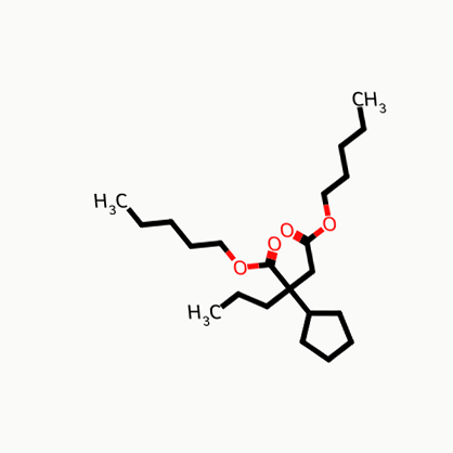 CCCCCOC(=O)CC(CCC)(C(=O)OCCCCC)C1CCCC1